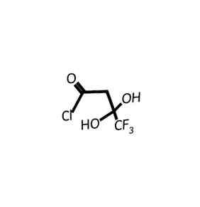 O=C(Cl)CC(O)(O)C(F)(F)F